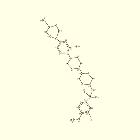 CCCCC1COC(c2ccc(C3CCC(C4CCC(OC(F)(F)c5ccc(OC(F)(F)F)c(F)c5)CC4)CC3)c(F)c2)OC1